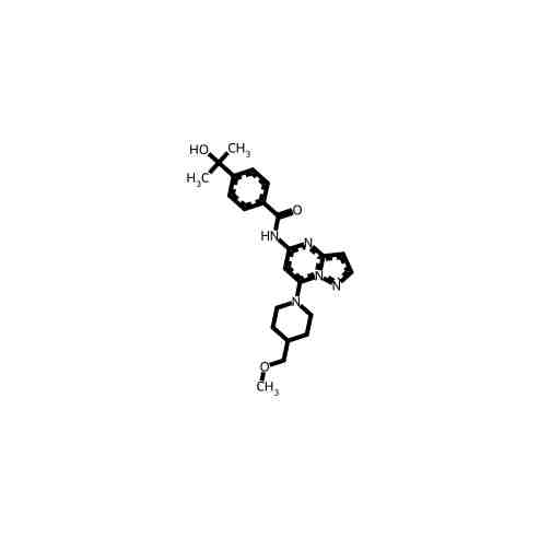 COCC1CCN(c2cc(NC(=O)c3ccc(C(C)(C)O)cc3)nc3ccnn23)CC1